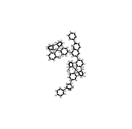 c1ccc(-c2ccc3cc(-c4ccc5c(c4)C4(c6ccccc6Oc6cc(-c7nnc(-c8ccccc8)s7)ccc64)c4ccccc4-5)cc(-c4ccc5c(c4)Oc4ccccc4C54c5ccccc5-c5ccccc54)c3n2)cc1